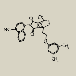 CCC12CCC(CCOc3cc(C)cc(C)c3)(O1)C1C(=O)N(c3ccc(C#N)c4ccccc34)C(=O)C12